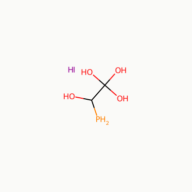 I.OC(P)C(O)(O)O